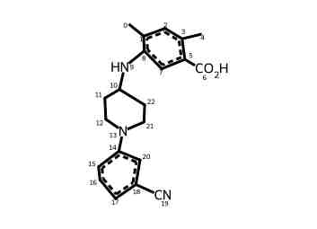 Cc1cc(C)c(C(=O)O)cc1NC1CCN(c2cccc(C#N)c2)CC1